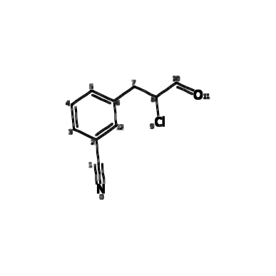 N#Cc1cccc(CC(Cl)C=O)c1